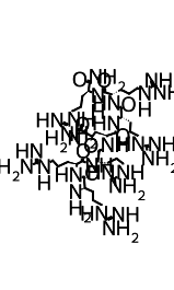 N=C(N)NCCC[C@H](NC(=O)[C@H](CCCNC(=N)N)NC(=O)[C@H](CCCNC(=N)N)NC(=O)[C@H](CCC(N)=O)NC(=O)[C@H](CCCNC(=N)N)NC(=O)[C@H](CCCNC(=N)N)NC(=O)[C@@H](N)CCCNC(=N)N)C(N)=O